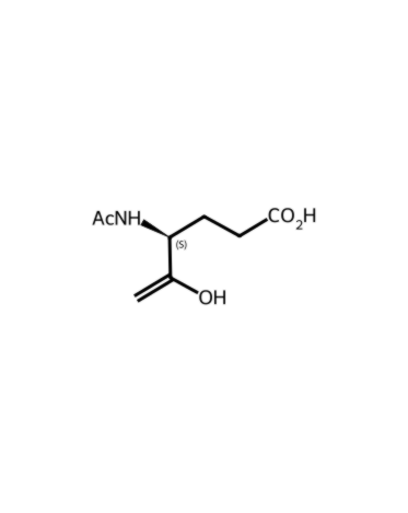 C=C(O)[C@H](CCC(=O)O)NC(C)=O